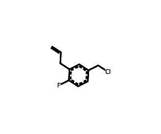 C=CCc1cc(CCl)ccc1F